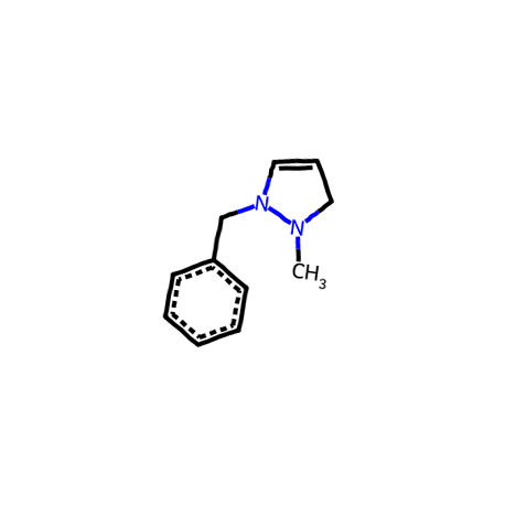 CN1CC=CN1Cc1ccccc1